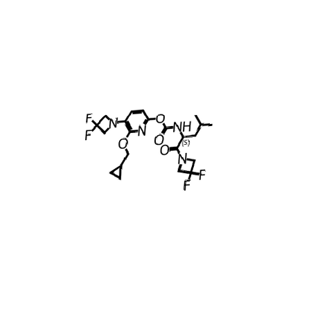 CC(C)C[C@H](NC(=O)Oc1ccc(N2CC(F)(F)C2)c(OCC2CC2)n1)C(=O)N1CC(F)(F)C1